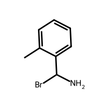 Cc1ccccc1C(N)Br